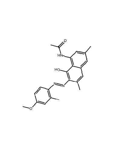 COc1ccc(N=Nc2c(C)cc3cc(C)cc(NC(C)=O)c3c2O)c(C)c1